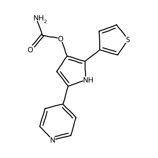 NC(=O)Oc1cc(-c2ccncc2)[nH]c1-c1ccsc1